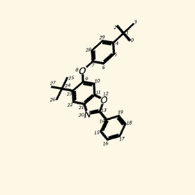 CC(C)(C)c1ccc(Oc2cc3oc(-c4ccccc4)nc3cc2C(C)(C)C)cc1